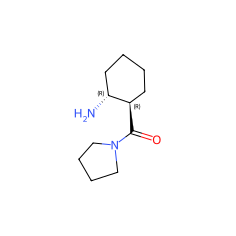 N[C@@H]1CCCC[C@H]1C(=O)N1CCCC1